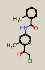 Cc1cc(NC(=O)c2ccccc2C)ccc1C(=O)CCl